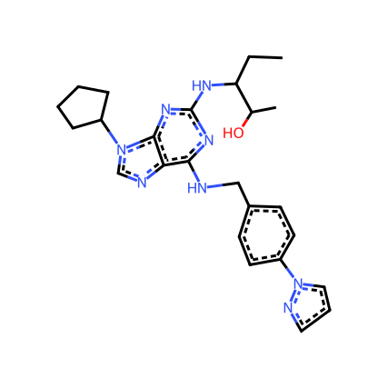 CCC(Nc1nc(NCc2ccc(-n3cccn3)cc2)c2ncn(C3CCCC3)c2n1)C(C)O